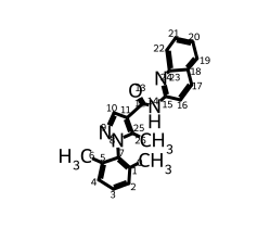 Cc1cccc(C)c1-n1ncc(C(=O)Nc2ccc3ccccc3n2)c1C